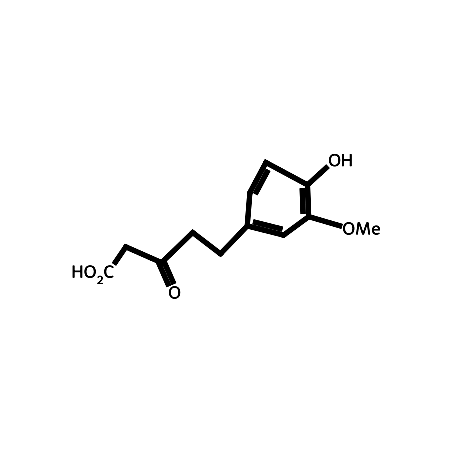 COc1cc(CCC(=O)CC(=O)O)ccc1O